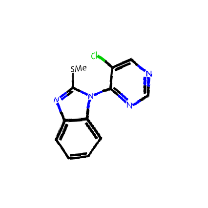 CSc1nc2ccccc2n1-c1ncncc1Cl